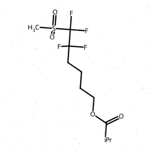 CC(C)C(=O)OCCCCC(F)(F)C(F)(F)S(C)(=O)=O